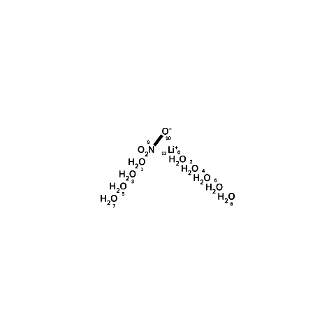 O.O.O.O.O.O.O.O.O.O=[N+]([O-])[O-].[Li+]